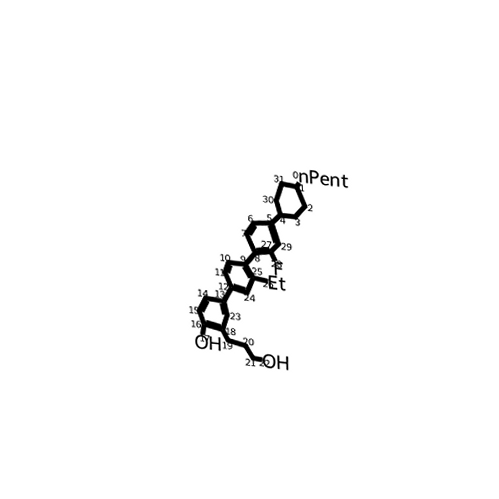 CCCCCC1CCC(c2ccc(-c3ccc(-c4ccc(O)c(CCCO)c4)cc3CC)c(F)c2)CC1